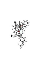 CC(C)Oc1ccc(-c2ccc(OC3CC4CCC(C3)N4C(=O)NC3[C@@H]4CC5C[C@H]3CC(C(N)=O)(C5)C4)nc2)cc1